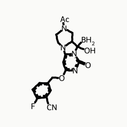 BC1(O)C2CN(C(C)=O)CCN2c2cc(OCc3ccc(F)c(C#N)c3)nc(=O)n21